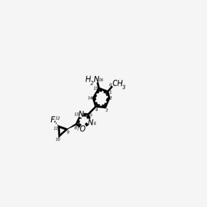 Cc1ccc(-c2noc([C@H]3C[C@@H]3F)n2)cc1N